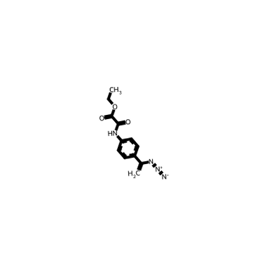 C=C(N=[N+]=[N-])c1ccc(NC(=O)C(=O)OCC)cc1